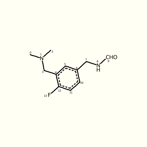 CN(C)Cc1cc(CNC=O)ccc1F